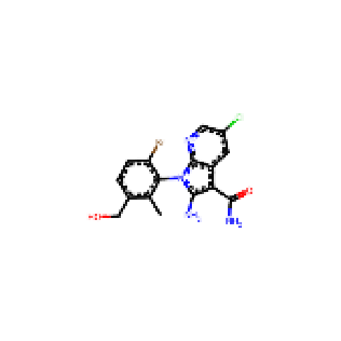 Cc1c(CO)ccc(Br)c1-n1c(N)c(C(N)=O)c2cc(Cl)cnc21